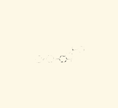 CC1(C)CN(C(=O)C2CCCC2)Cc2cc(N3CCC(N4CCOCC4)CC3)ccc21